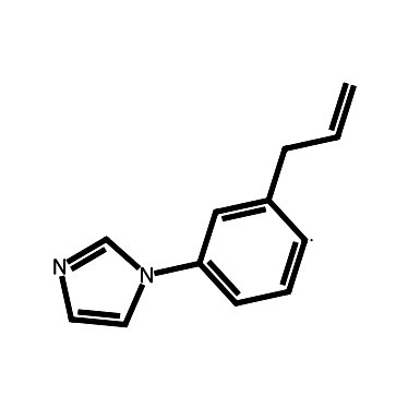 C=CCc1[c]ccc(-n2ccnc2)c1